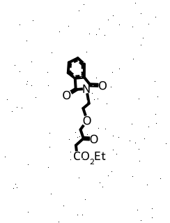 CCOC(=O)CC(=O)COCCN1C(=O)c2ccccc2C1=O